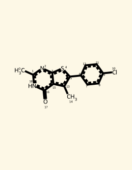 Cc1nc2sc(-c3ccc(Cl)cc3)c(C)c2c(=O)[nH]1